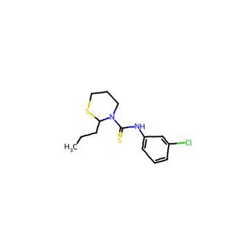 CCCC1SCCCN1C(=S)Nc1cccc(Cl)c1